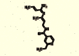 C/C=C/C(N)=N\C(C)=C\CNC(=O)c1ccnc(CC)c1